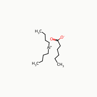 CCCCCC(=O)[O-].CCC[CH2][Al+][CH2]CCC